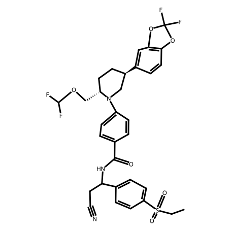 CCS(=O)(=O)c1ccc(C(CC#N)NC(=O)c2ccc(N3C[C@H](c4ccc5c(c4)OC(F)(F)O5)CC[C@H]3COC(F)F)cc2)cc1